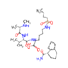 CCCCS(=O)(=O)NCCCCC(NC(=O)C(NC(=O)C(C)NC)C(C)C)C(=O)O.NC(=O)C1CCCc2ccccc21